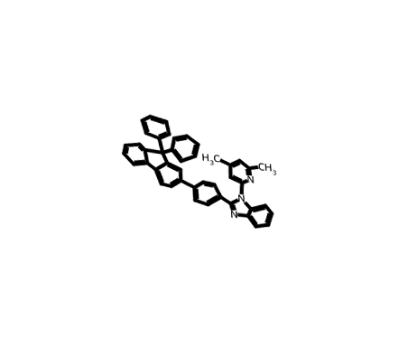 Cc1cc(C)nc(-n2c(-c3ccc(-c4ccc5c(c4)C(c4ccccc4)(c4ccccc4)c4ccccc4-5)cc3)nc3ccccc32)c1